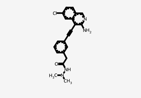 CN(C)NC(=O)Cc1cccc(C#Cc2c(N)ncc3ccc(Cl)cc23)c1